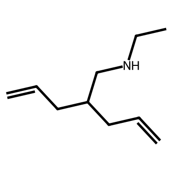 C=CCC(CC=C)CNCC